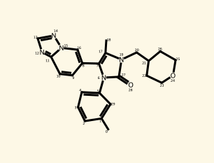 Cc1cccc(-n2c(-c3ccc4ncnn4c3)c(C)n(CC3CCOCC3)c2=O)c1